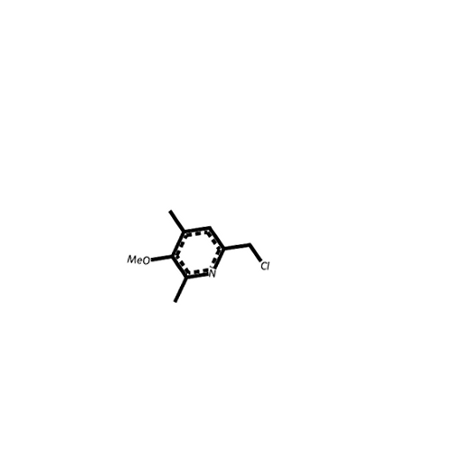 COc1c(C)cc(CCl)nc1C